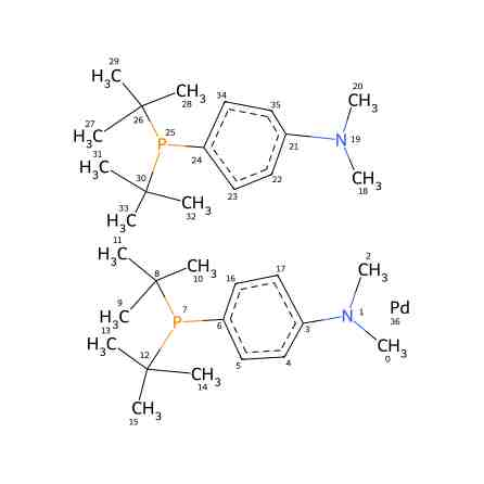 CN(C)c1ccc(P(C(C)(C)C)C(C)(C)C)cc1.CN(C)c1ccc(P(C(C)(C)C)C(C)(C)C)cc1.[Pd]